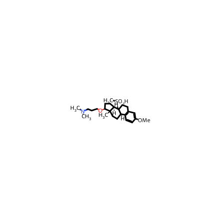 COc1ccc2c(c1)CC[C@@H]1[C@@H]2CC[C@]2(C)[C@@H](OCCCN(C)C)CC[C@@H]12.CS(=O)(=O)O